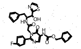 O=C(Cn1c(-c2ccc(F)cc2)ncc(NC(=O)OCc2ccccc2)c1=O)NC(Cc1ccccc1)C(O)c1nccs1